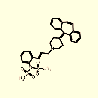 CS(=O)(=O)N(c1ccccc1/C=C/CN1CCC(=C2c3ccccc3C=Cc3ccccc32)CC1)S(C)(=O)=O